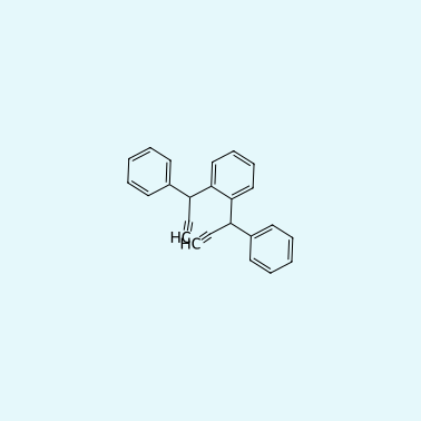 C#CC(c1ccccc1)c1ccccc1C(C#C)c1ccccc1